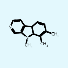 CC1=C(C)C2C(C=C1)c1ccncc1N2C